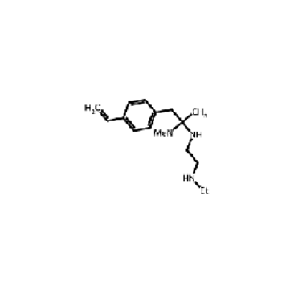 C=Cc1ccc(CC(C)(NC)NCCNCC)cc1